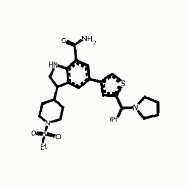 CCS(=O)(=O)N1CCC(C2CNc3c(C(N)=O)cc(-c4csc(C(C(C)C)N5CCCC5)c4)cc32)CC1